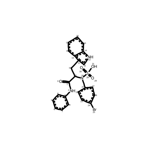 O=C(Nc1ccccc1)C(Cc1c[nH]c2ccccc12)N(c1ccc(Br)cc1)S(=O)(=O)O